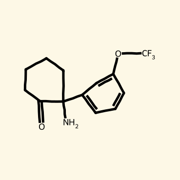 NC1(c2cccc(OC(F)(F)F)c2)CCCCC1=O